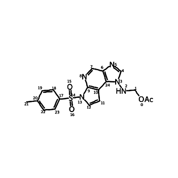 CC(=O)OCNn1cnc2cnc3c(ccn3S(=O)(=O)c3ccc(C)cc3)c21